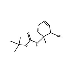 CC(C)(C)OC(=O)NC1(C)C=CC=CC1N